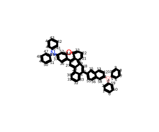 c1ccc(B(c2ccccc2)c2ccc3cc(-c4cc5c6cccc7c6c(cc5c5ccccc45)-c4ccc(N(c5ccccc5)c5ccccc5)cc4O7)ccc3c2)cc1